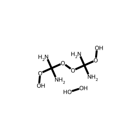 NC(N)(OO)OOC(N)(N)OO.OO